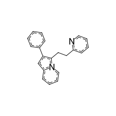 c1ccc(-c2cc3ccccn3c2CCc2ccccn2)cc1